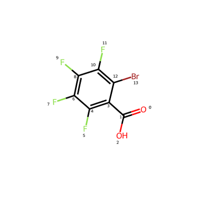 O=C(O)c1c(F)c(F)c(F)c(F)c1Br